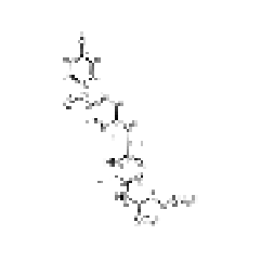 C[C@H](NC(=O)C(C)(C)Oc1ccc(C(=O)c2ccc(Cl)cc2)cc1)C(=O)N[C@@H](CCC(=O)O)C(=O)O